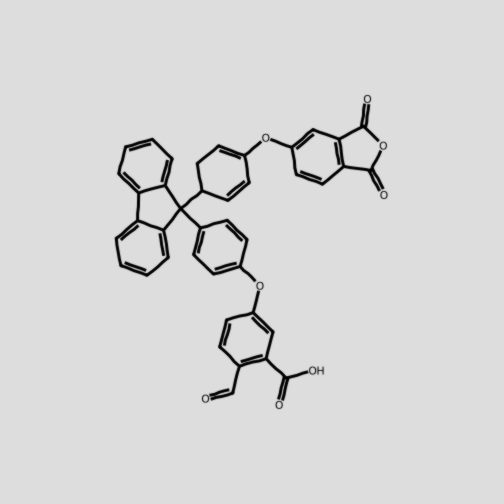 O=Cc1ccc(Oc2ccc(C3(C4C=CC(Oc5ccc6c(c5)C(=O)OC6=O)=CC4)c4ccccc4-c4ccccc43)cc2)cc1C(=O)O